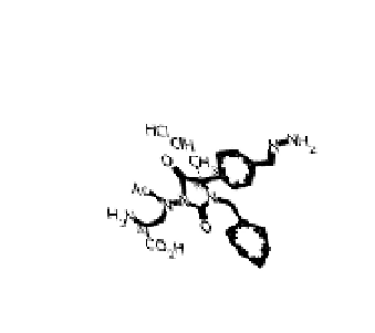 CC(=O)N(C[C@H](N)C(=O)O)N1C(=O)N(Cc2ccccc2)[C@](C)(c2ccc(C=NN)cc2)C1=O.Cl.Cl